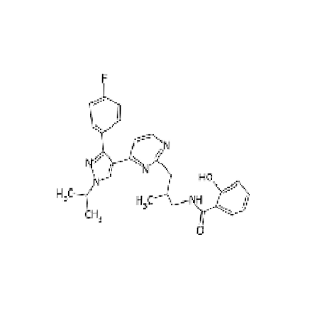 CC(CNC(=O)c1ccccc1O)Cc1nccc(-c2cn(C(C)C)nc2-c2ccc(F)cc2)n1